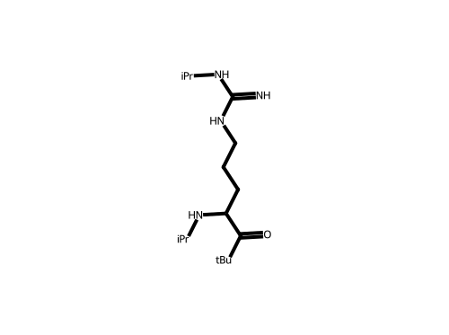 CC(C)NC(=N)NCCCC(NC(C)C)C(=O)C(C)(C)C